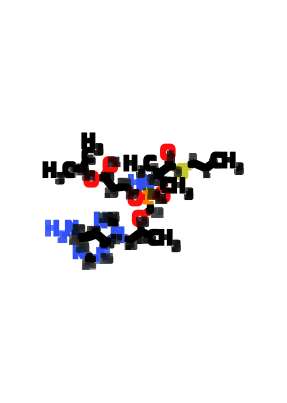 CCCSC(=O)C(C)(C)NP(=O)(COC(C)Cn1cnc2c(N)ncnc21)OCCC(=O)OC(C)C